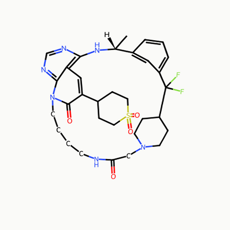 C[C@H]1Nc2ncnc3c2cc(C2CCS(=O)(=O)CC2)c(=O)n3CCCCNC(=O)CN2CCC(CC2)C(F)(F)c2cccc1c2